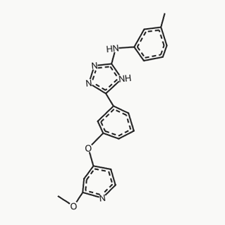 COc1cc(Oc2cccc(-c3nnc(Nc4cccc(C)c4)[nH]3)c2)ccn1